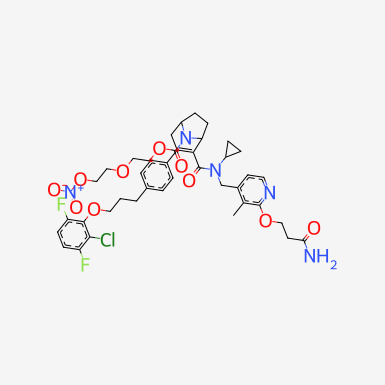 Cc1c(CN(C(=O)C2=C(c3ccc(CCCOc4c(F)ccc(F)c4Cl)cc3)CC3CCC2N3C(=O)OCCOCCO[N+](=O)[O-])C2CC2)ccnc1OCCC(N)=O